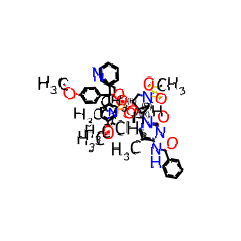 COc1ccc(C(OC[C@@]23CN(S(C)(=O)=O)[C@@H]([C@H](n4cc(C)c(NC(=O)c5ccccc5)nc4=O)O2)[C@@H]3OP(OCCC#N)N(C(C)C)C(C)C)(c2ccccc2)c2ccc(OC)cc2)cc1